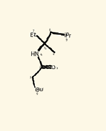 CCC(C)CC(=O)NC(C)(CC)CC(C)C